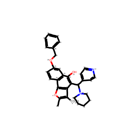 CCOC(=O)c1c(C)oc2c1c(C(c1ccncc1)N1CCCCC1)c(O)c1cc(OCc3ccccc3)ccc12